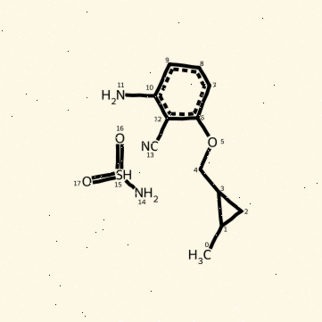 CC1CC1COc1cccc(N)c1C#N.N[SH](=O)=O